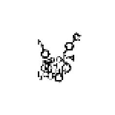 CC(C)(Oc1cccc(N2CCC[C@H](C(=O)N(Cc3ccc(-c4cccs4)cc3)C3CC3)C2)c1)C(=O)NS(=O)(=O)c1ccc(C#N)cc1